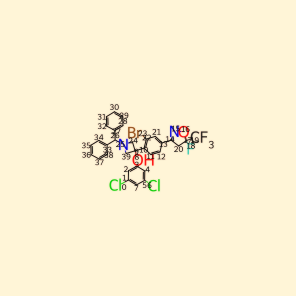 Clc1cccc(Cl)c1.OC1(c2ccc(C3=NOC(F)(C(F)(F)F)C3)cc2Br)CN(C(c2ccccc2)c2ccccc2)C1